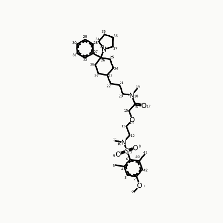 COc1cc(C)c(S(=O)(=O)N(C)CCOCC(=O)N(C)CCCC2CCC(c3ccccc3)(N3CCCC3)CC2)c(C)c1